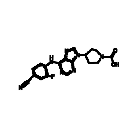 N#Cc1ccc(Nc2ncnc3c2ncn3C2CCN(C(=O)O)CC2)c(F)c1